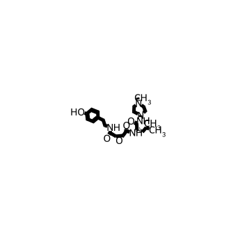 CC(C)C[C@H](NC(=O)C1OC1C(=O)NCCc1ccc(O)cc1)C(=O)NN1CCN(C)CC1